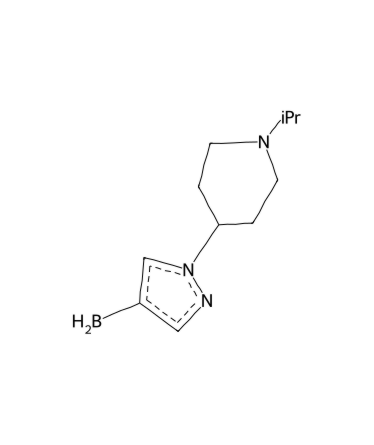 Bc1cnn(C2CCN(C(C)C)CC2)c1